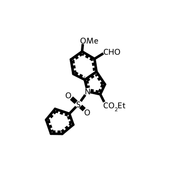 CCOC(=O)c1cc2c(C=O)c(OC)ccc2n1S(=O)(=O)c1ccccc1